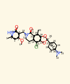 COc1cc(C)[nH]c(=O)c1CN1CCc2c(Cl)c3c(c(C)c2C1=O)O[C@@](C)(C12CCC(N(C)C)(CC1)CC2)O3